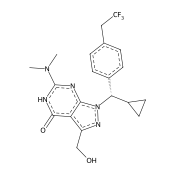 CN(C)c1nc2c(c(CO)nn2[C@H](c2ccc(CC(F)(F)F)cc2)C2CC2)c(=O)[nH]1